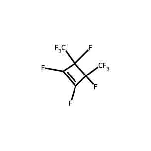 FC1=C(F)C(F)(C(F)(F)F)C1(F)C(F)(F)F